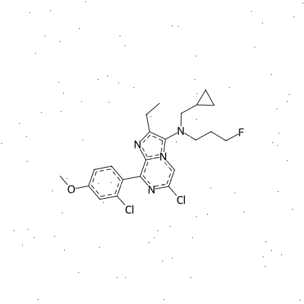 CCc1nc2c(-c3ccc(OC)cc3Cl)nc(Cl)cn2c1N(CCCF)CC1CC1